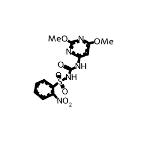 COc1cc(NC(=O)NS(=O)(=O)c2ccccc2[N+](=O)[O-])nc(OC)n1